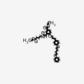 CCOC(=O)CCCNC(=O)Cc1cc(C(=O)OCC)ccc1OCCCc1ccc(OCCCCOc2ccccc2)cc1